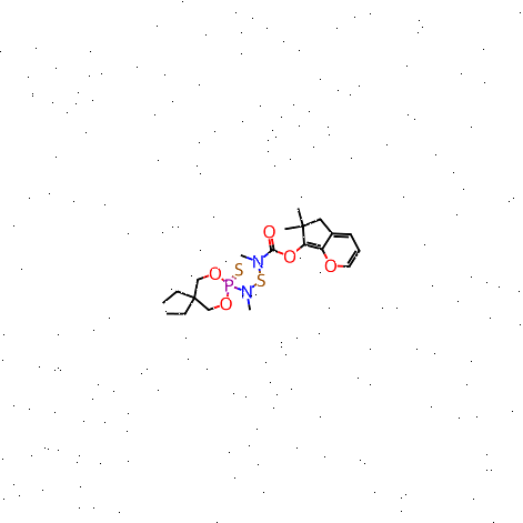 CCC1(CC)COP(=S)(N(C)SN(C)C(=O)OC2=C3OC=CC=C3CC2(C)C)OC1